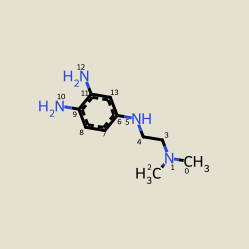 CN(C)CCNc1ccc(N)c(N)c1